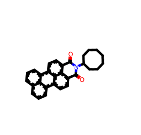 O=C1c2ccc3c4cccc5cccc(c6ccc(c2c36)C(=O)N1C1CCCCCCC1)c54